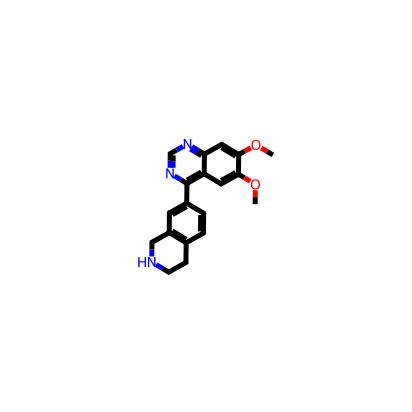 COc1cc2ncnc(-c3ccc4c(c3)CNCC4)c2cc1OC